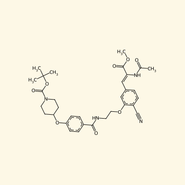 COC(=O)C(=Cc1ccc(C#N)c(OCCNC(=O)c2ccc(OC3CCN(C(=O)OC(C)(C)C)CC3)cc2)c1)NC(C)=O